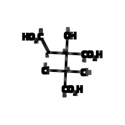 O=C(O)CC(O)(C(=O)O)C(Cl)(Cl)C(=O)O